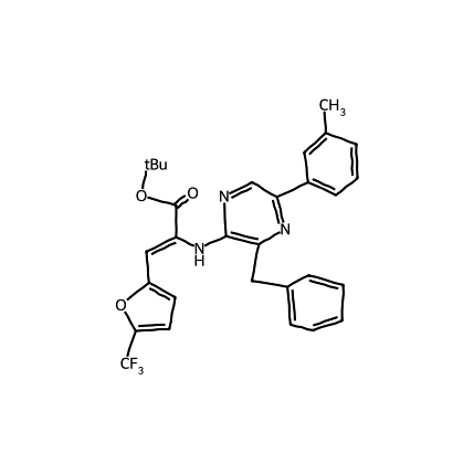 Cc1cccc(-c2cnc(N/C(=C\c3ccc(C(F)(F)F)o3)C(=O)OC(C)(C)C)c(Cc3ccccc3)n2)c1